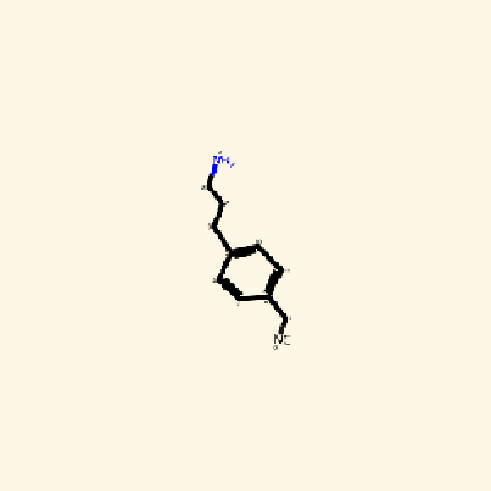 [C-]#[N+]Cc1ccc(CCCN)cc1